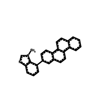 Cn1cnc2cccc(-c3ccc4c(ccc5c6ccccc6ccc45)c3)c21